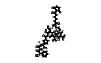 CC[C@H](C)[C@@H]([C@@H](CC(=O)N1CCC([C@H](OC)[C@@H](C)C(=O)N[C@H](C)[C@@H](O)c2ccccc2)C1)OC)N(C)C(=O)[C@@H](NC(=O)[C@H](C(C)C)N(C)P(=O)(O)OCCNC(=O)CCCCC(=O)N1C(=O)C=CC1=O)C(C)C